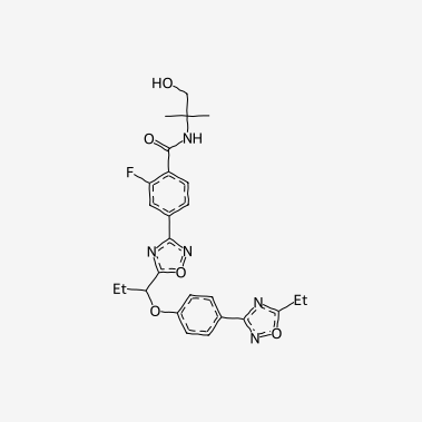 CCc1nc(-c2ccc(OC(CC)c3nc(-c4ccc(C(=O)NC(C)(C)CO)c(F)c4)no3)cc2)no1